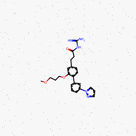 COCCCOc1cc(CCC(=O)NC(=N)N)ccc1-c1cccc(-n2cccn2)c1